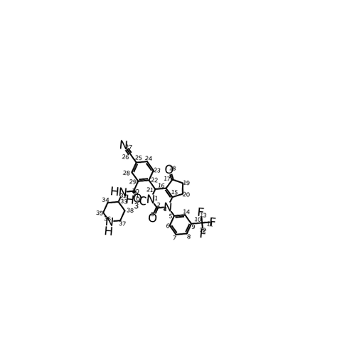 CN1C(=O)N(c2cccc(C(F)(F)F)c2)C2=C(C(=O)CC2)C1c1ccc(C#N)cc1C(=O)NC1CCNCC1